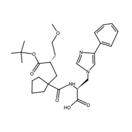 COCC[C@H](CC1(C(=O)N[C@@H](Cn2cnc(-c3ccccc3)c2)C(=O)O)CCCC1)C(=O)OC(C)(C)C